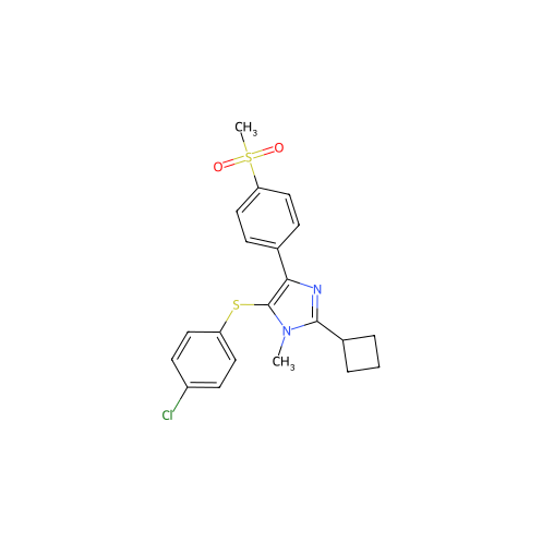 Cn1c(C2CCC2)nc(-c2ccc(S(C)(=O)=O)cc2)c1Sc1ccc(Cl)cc1